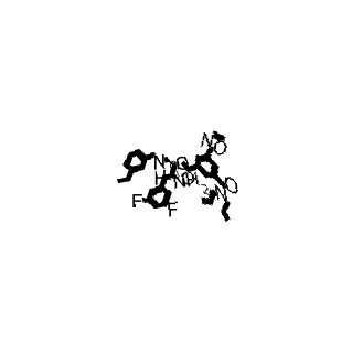 CCCN(CCC)C(=O)c1cc(C(=O)O[C@H](CNCc2cccc(CC)c2)[C@@H](N)Cc2cc(F)cc(F)c2)cc(-c2ncco2)c1